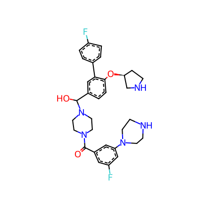 O=C(c1cc(F)cc(N2CCNCC2)c1)N1CCN(C(O)c2ccc(O[C@H]3CCNC3)c(-c3ccc(F)cc3)c2)CC1